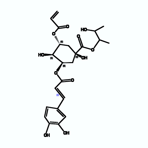 C=CC(=O)O[C@@H]1C[C@](O)(C(=O)OC(C)C(C)O)C[C@@H](OC(=O)/C=C/c2ccc(O)c(O)c2)[C@H]1O